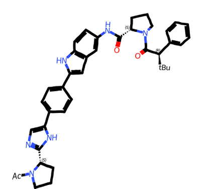 CC(=O)N1CCC[C@H]1c1ncc(-c2ccc(-c3cc4cc(NC(=O)[C@@H]5CCCN5C(=O)[C@@H](c5ccccc5)C(C)(C)C)ccc4[nH]3)cc2)[nH]1